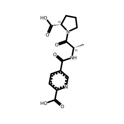 C[C@H](NC(=O)c1ccc(C(=O)O)nc1)C(=O)N1CCC[C@H]1C(=O)O